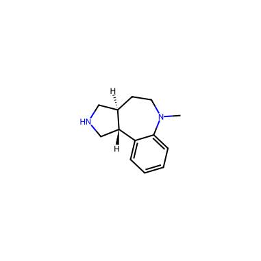 CN1CC[C@@H]2CNC[C@H]2c2ccccc21